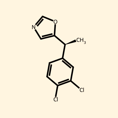 C[C@@H](c1ccc(Cl)c(Cl)c1)c1cnco1